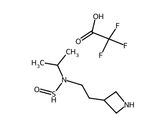 CC(C)N(CCC1CNC1)[SH]=O.O=C(O)C(F)(F)F